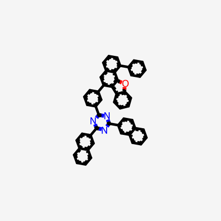 c1ccc(-c2cccc3cc(-c4cccc(-c5nc(-c6ccc7ccccc7c6)nc(-c6ccc7ccccc7c6)n5)c4)c4c5ccccc5oc4c23)cc1